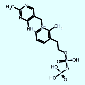 Cc1ncc(C[n+]2cccc(CCOP(=O)(O)OP(=O)(O)O)c2C)c(N)n1